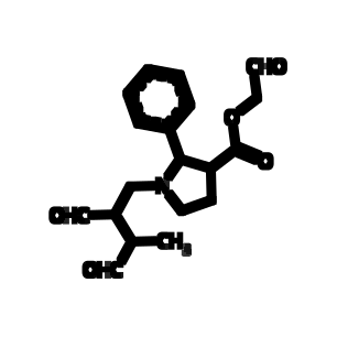 CC(C=O)C(C=O)CN1CCC(C(=O)OCC=O)C1c1ccccc1